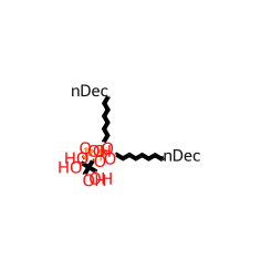 CCCCCCCCCCCCCCCCCCOP(=O)(OCCCCCCCCCCCCCCCCCC)OC(C(CO)(CO)CO)P(=O)(O)O